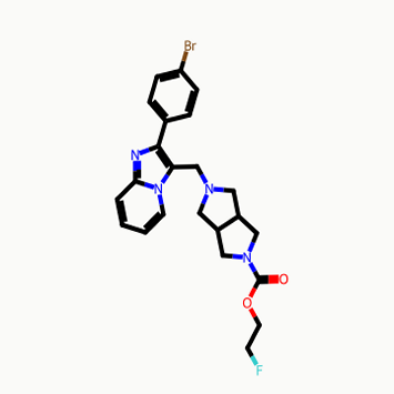 O=C(OCCF)N1CC2CN(Cc3c(-c4ccc(Br)cc4)nc4ccccn34)CC2C1